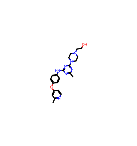 Cc1cc(Oc2ccc(Nc3nc(C)nc(N4CCN(CCO)CC4)n3)cc2)ccn1